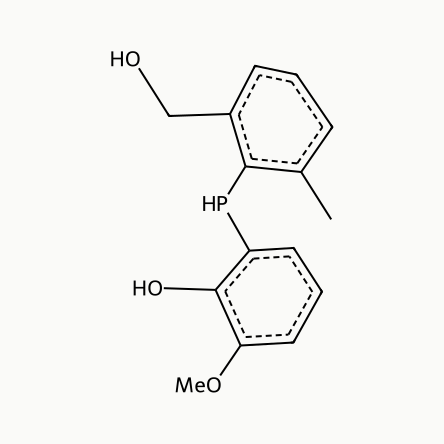 COc1cccc(Pc2c(C)cccc2CO)c1O